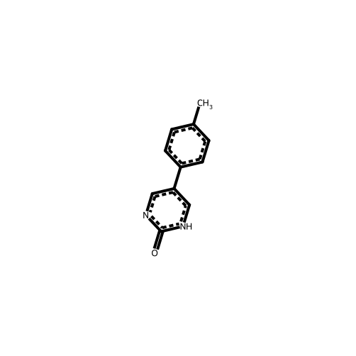 Cc1ccc(-c2cnc(=O)[nH]c2)cc1